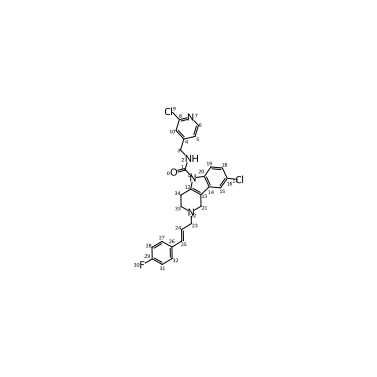 O=C(NCc1ccnc(Cl)c1)n1c2c(c3cc(Cl)ccc31)CN(C/C=C/c1ccc(F)cc1)CC2